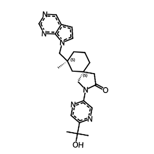 CC(C)(O)c1cnc(N2C[C@]3(CCC[C@](C)(Cn4ccc5cncnc54)C3)CC2=O)cn1